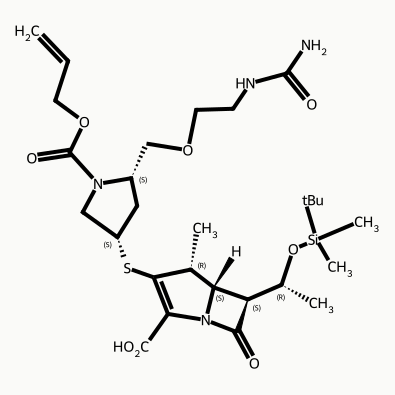 C=CCOC(=O)N1C[C@@H](SC2=C(C(=O)O)N3C(=O)[C@H]([C@@H](C)O[Si](C)(C)C(C)(C)C)[C@H]3[C@H]2C)C[C@H]1COCCNC(N)=O